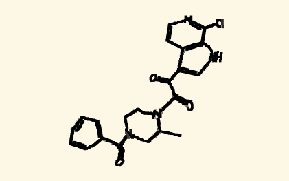 CC1CN(C(=O)c2ccccc2)CCN1C(=O)C(=O)c1c[nH]c2c(Cl)nccc12